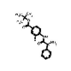 CC(C)(C)OC(=O)c1ccc(NC(=O)[C@@H](N)c2ccccc2)c(F)c1